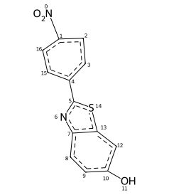 O=[N+]([O-])c1ccc(-c2nc3ccc(O)cc3s2)cc1